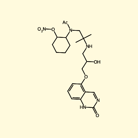 CC(=O)N(CC(C)(C)NCC(O)COc1cccc2[nH]c(=O)ncc12)C1CCCCC1O[N+](=O)[O-]